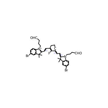 CC1(C)C(/C=C/C2=C(F)C(=C/C=C3/N(CCCC=O)c4ccc(Br)cc4C3(C)C)/CCC2)=[N+](CCCC=O)c2ccc(Br)cc21